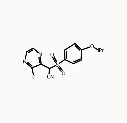 CC(C)Oc1ccc(S(=O)(=O)C(C#N)c2nccnc2Cl)cc1